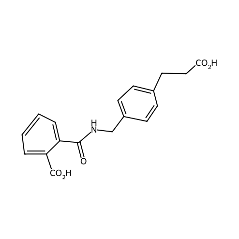 O=C(O)CCc1ccc(CNC(=O)c2ccccc2C(=O)O)cc1